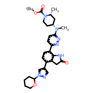 C[C@@H]1C[C@H](N(C)c2ccc(-c3ccc(-c4cnn(C5CCCCO5)c4)c4c3NC(=O)C4)nn2)CCN1C(=O)OC(C)(C)C